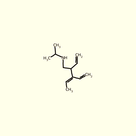 C=C/C(=C\C)C(C=C)CNC(C)C